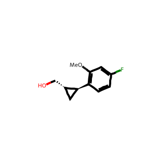 COc1cc(F)ccc1[C@H]1C[C@@H]1CO